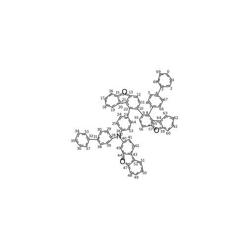 c1ccc(-c2ccc(-c3c(-c4ccc5oc6ccccc6c5c4-c4ccc(N(c5ccc(-c6ccccc6)cc5)c5ccc6c(c5)oc5ccccc56)cc4)ccc4oc5ccccc5c34)cc2)cc1